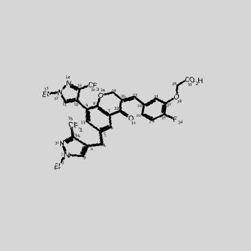 CCn1cc(Cc2cc3c(c(-c4cn(CC)nc4C(F)(F)F)c2)OCC(=Cc2ccc(F)c(OCC(=O)O)c2)C3=O)c(C(F)(F)F)n1